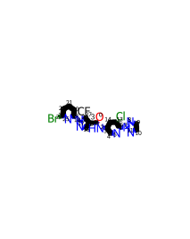 O=C(Nc1cnc(-n2nccn2)c(Cl)c1)c1cnn(-c2cccc(Br)n2)c1C(F)(F)F